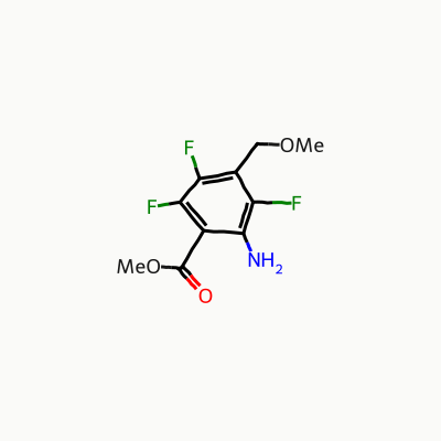 COCc1c(F)c(N)c(C(=O)OC)c(F)c1F